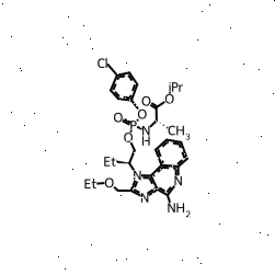 CCOCc1nc2c(N)nc3ccccc3c2n1[C@@H](CC)COP(=O)(N[C@@H](C)C(=O)OC(C)C)Oc1ccc(Cl)cc1